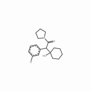 O=C(C(c1cccc(Cl)c1)C1(O)CCCCC1)N1CCCC1